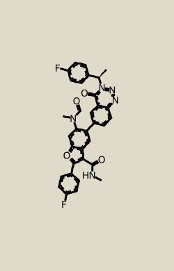 CNC(=O)c1c(-c2ccc(F)cc2)oc2cc(N(C)C=O)c(-c3ccc4nnn([C@H](C)c5ccc(F)cc5)c(=O)c4c3)cc12